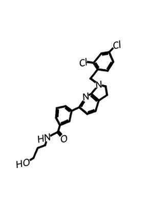 O=C(NCCCO)c1cccc(-c2ccc3c(n2)N(Cc2ccc(Cl)cc2Cl)CC3)c1